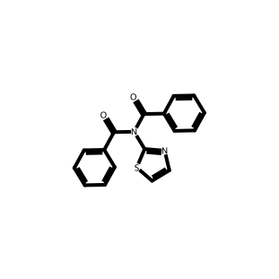 O=C(c1ccccc1)N(C(=O)c1ccccc1)c1nccs1